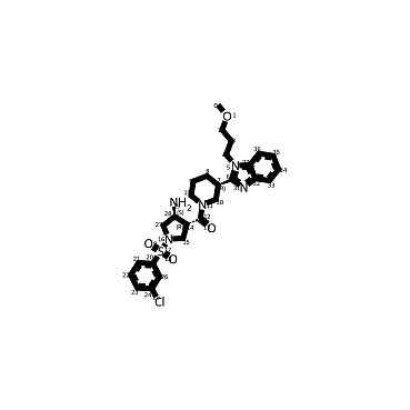 COCCCn1c([C@@H]2CCCN(C(=O)[C@@H]3CN(S(=O)(=O)c4cccc(Cl)c4)C[C@H]3N)C2)nc2ccccc21